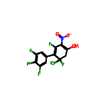 O=[N+]([O-])C1=C(O)CC(F)(Cl)C(c2cc(F)c(F)c(F)c2)=C1F